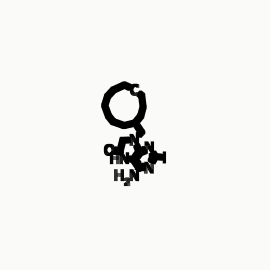 Nc1nc(I)nc2c1NC(=O)CN2CC1CCCCCCCCCCC1